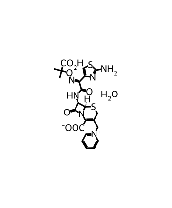 CC(C)(ON=C(C(=O)N[C@@H]1C(=O)N2C(C(=O)[O-])=C(C[n+]3ccccc3)CS[C@H]12)c1csc(N)n1)C(=O)O.O